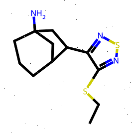 CCSc1nsnc1C1CC2(N)CCCC1C2